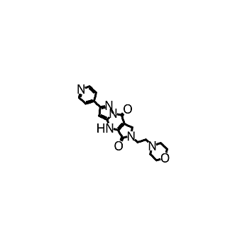 O=C1c2[nH]c3cc(-c4ccncc4)nn3c(=O)c2CN1CCN1CCOCC1